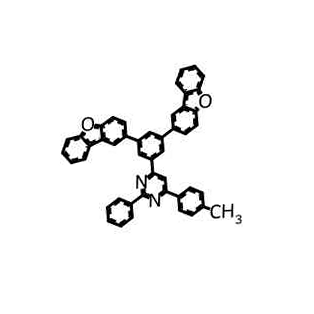 Cc1ccc(-c2cc(-c3cc(-c4ccc5oc6ccccc6c5c4)cc(-c4ccc5oc6ccccc6c5c4)c3)nc(-c3ccccc3)n2)cc1